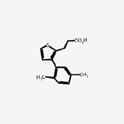 Cc1ccc(C)c(-c2ccsc2CCC(=O)O)c1